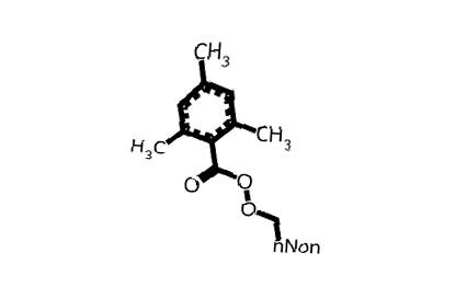 [CH2]CCCCCCCCCOOC(=O)c1c(C)cc(C)cc1C